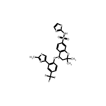 Cc1nc(-c2cc(C(F)(F)F)ccc2O[C@@H]2CC(C)(C)Oc3cc(S(=O)(=O)Nc4nccs4)ccc32)cs1